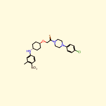 Cc1cc(N[C@H]2CC[C@H](OCC(=S)N3CCN(c4ccc(Cl)cc4)CC3)CC2)ccc1[N+](=O)[O-]